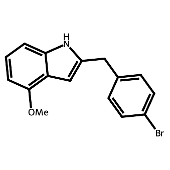 COc1cccc2[nH]c(Cc3ccc(Br)cc3)cc12